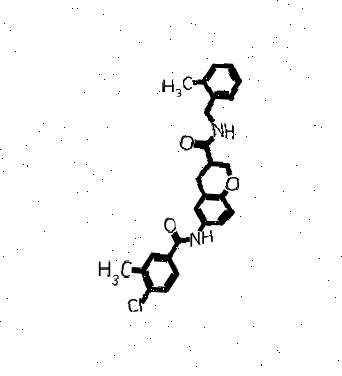 Cc1cc(C(=O)Nc2ccc3c(c2)CC(C(=O)NCc2ccccc2C)CO3)ccc1Cl